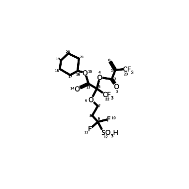 C=C(C(=O)OC(OCCC(F)(F)S(=O)(=O)O)(C(=O)OC1CCCCC1)C(F)(F)F)C(F)(F)F